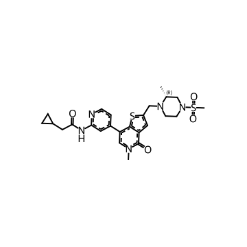 C[C@@H]1CN(S(C)(=O)=O)CCN1Cc1cc2c(=O)n(C)cc(-c3ccnc(NC(=O)CC4CC4)c3)c2s1